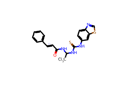 O=C(/C=C/c1ccccc1)NC(NC(=S)Nc1ccc2ncsc2c1)C(Cl)(Cl)Cl